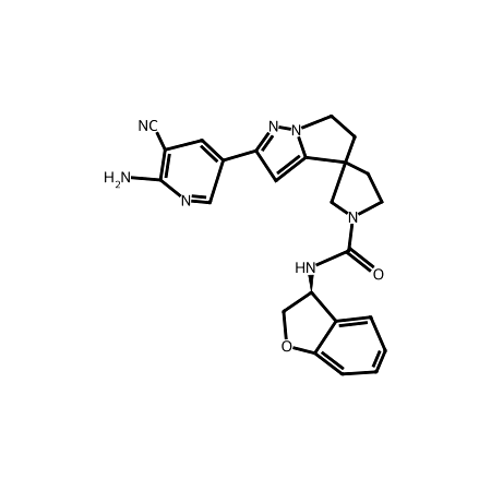 N#Cc1cc(-c2cc3n(n2)CCC32CCN(C(=O)N[C@@H]3COc4ccccc43)C2)cnc1N